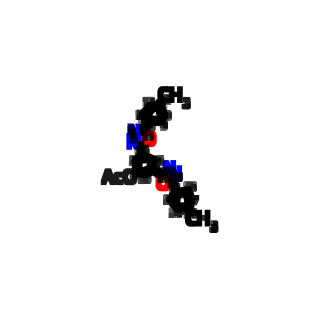 CC(=O)Oc1cc(-c2nnc(-c3ccc(C)cc3)o2)cc(-c2nnc(-c3ccc(C)cc3)o2)c1